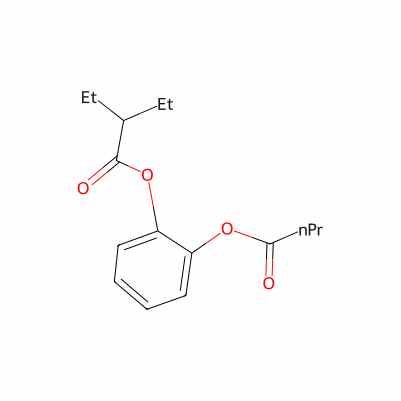 CCCC(=O)Oc1ccccc1OC(=O)C(CC)CC